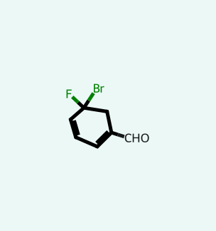 O=CC1=CC=CC(F)(Br)C1